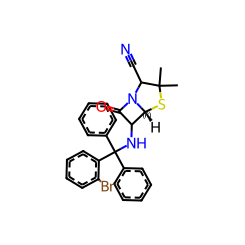 CC1(C)S[C@@H]2C(NC(c3ccccc3)(c3ccccc3)c3ccccc3Br)C(=O)N2C1C#N